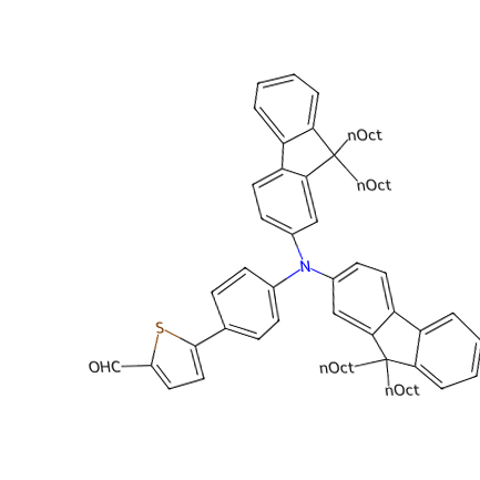 CCCCCCCCC1(CCCCCCCC)c2ccccc2-c2ccc(N(c3ccc(-c4ccc(C=O)s4)cc3)c3ccc4c(c3)C(CCCCCCCC)(CCCCCCCC)c3ccccc3-4)cc21